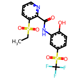 CCS(=O)(=O)c1cccnc1C(=O)Nc1cc(S(=O)(=O)C(F)(F)F)ccc1O